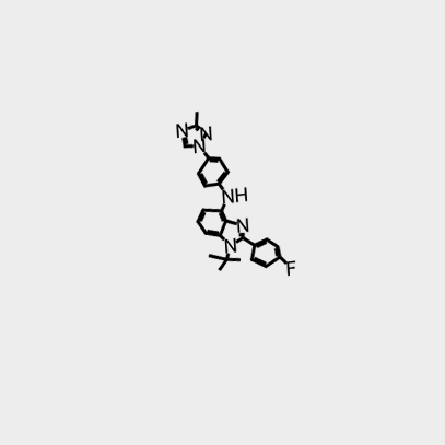 Cc1ncn(-c2ccc(Nc3cccc4c3nc(-c3ccc(F)cc3)n4C(C)(C)C)cc2)n1